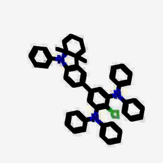 CC12CCCCC1(C)N(c1ccccc1)c1ccc(-c3cc(N(c4ccccc4)c4ccccc4)c(Cl)c(N(c4ccccc4)c4ccccc4)c3)cc12